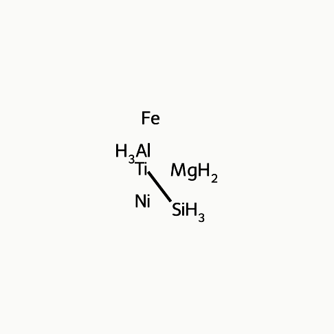 [AlH3].[Fe].[MgH2].[Ni].[SiH3][Ti]